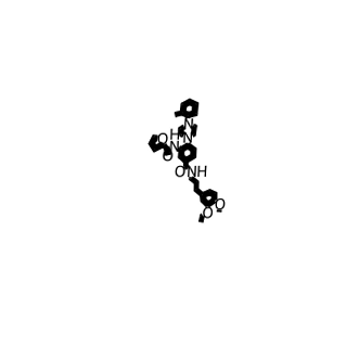 CCOc1cc(CCCNC(=O)c2ccc(N3CCN(c4ccccc4C)CC3)c(NC(=O)c3ccco3)c2)ccc1OC